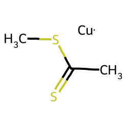 CSC(C)=S.[Cu]